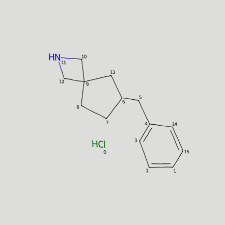 Cl.c1ccc(CC2CCC3(CNC3)C2)cc1